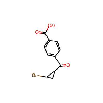 O=C(O)c1ccc(C(=O)C2CC2Br)cc1